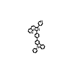 c1ccc(-n2c3ccccc3c3cc(-c4ccc(-c5nc(-c6ccncc6)c6ccc7cccnc7n56)cc4)ccc32)cc1